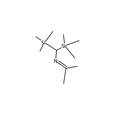 CC(C)=NC([Si](C)(C)C)[Si](C)(C)C